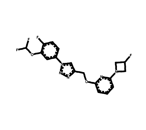 Fc1ccc(-n2cc(COc3cccc(N4CC(F)C4)n3)nn2)cc1OC(F)F